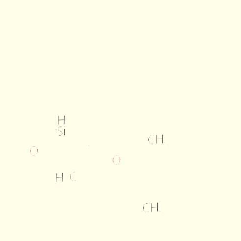 CCOC(C)([SiH]=O)C(=C(C)c1ccccc1)c1ccccc1